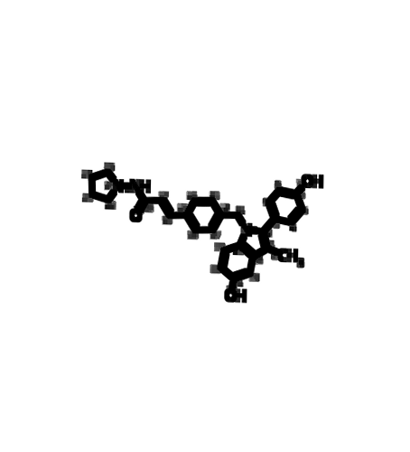 Cc1c(-c2ccc(O)cc2)n(Cc2ccc(/C=C/C(=O)NN3CCCC3)cc2)c2ccc(O)cc12